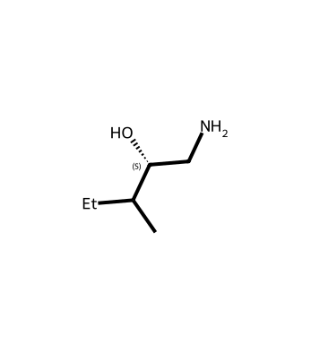 CCC(C)[C@H](O)CN